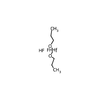 CCC[O][Hf][O]CCC.F.F